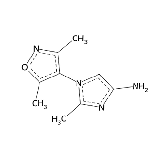 Cc1noc(C)c1-n1cc(N)nc1C